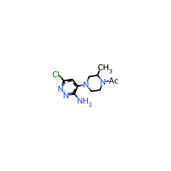 [CH2]C(=O)N1CCN(c2cc(Cl)nnc2N)CC1C